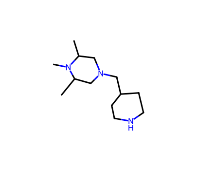 CC1CN(CC2CCNCC2)CC(C)N1C